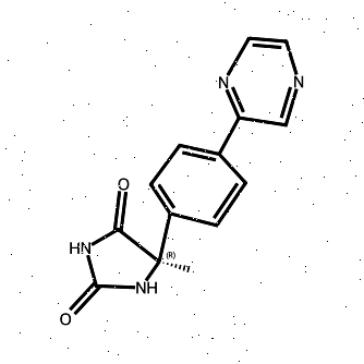 C[C@]1(c2ccc(-c3cnccn3)cc2)NC(=O)NC1=O